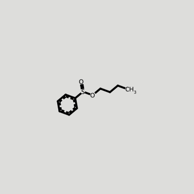 CCCCOS(=O)c1ccccc1